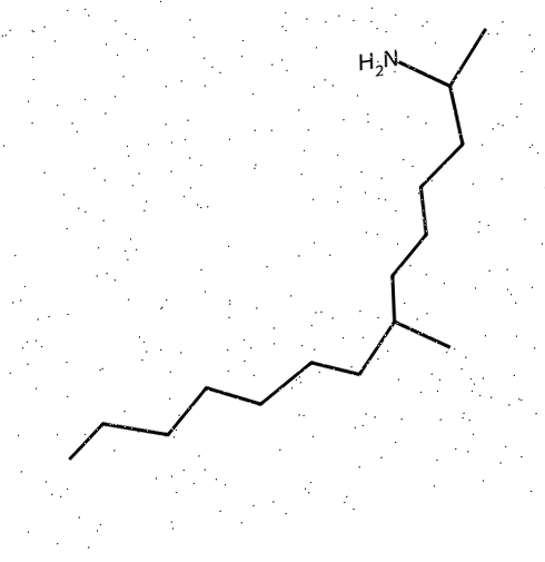 CCCCCCCC(C)CCCCC(C)N